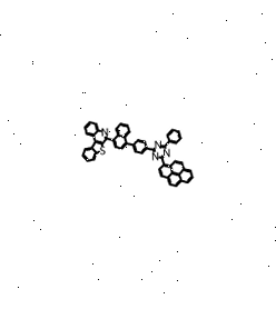 c1ccc(-c2nc(-c3ccc(-c4ccc(-c5nc6ccccc6c6c5sc5ccccc56)c5ccccc45)cc3)nc(-c3ccc4ccc5cccc6ccc3c4c56)n2)cc1